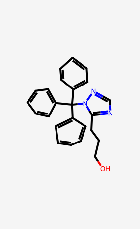 OCCCc1ncnn1C(c1ccccc1)(c1ccccc1)c1ccccc1